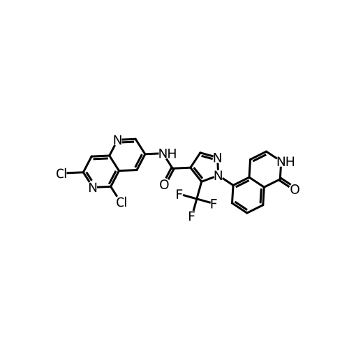 O=C(Nc1cnc2cc(Cl)nc(Cl)c2c1)c1cnn(-c2cccc3c(=O)[nH]ccc23)c1C(F)(F)F